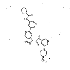 CN1CCN(c2cncc3[nH]c(-c4n[nH]c5cnc(-c6cncc(NC(=O)C7CCCC7)c6)cc45)nc23)CC1